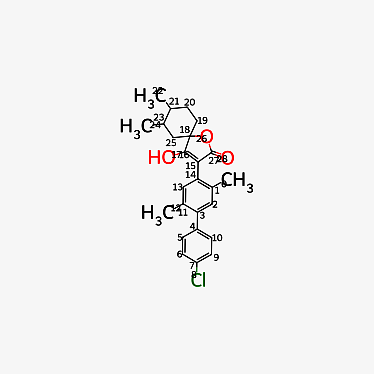 Cc1cc(-c2ccc(Cl)cc2)c(C)cc1C1=C(O)C2(CCC(C)C(C)C2)OC1=O